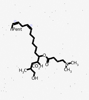 CCCCC/C=C\C/C=C\CCCCCC(OC(=O)CCCN(C)C)C(CC(C)CO)C(=O)O